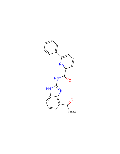 COC(=O)c1cccc2[nH]c(NC(=O)c3cccc(-c4ccccc4)n3)nc12